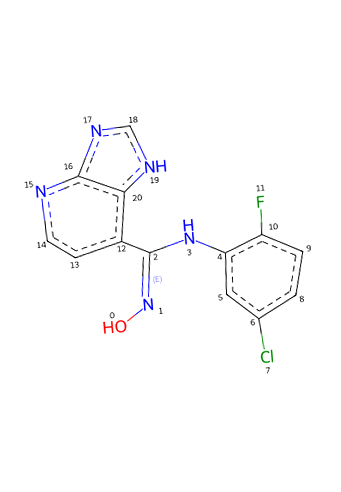 O/N=C(/Nc1cc(Cl)ccc1F)c1ccnc2nc[nH]c12